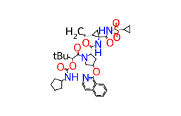 C=C[C@@H]1C[C@]1(NC(=O)[C@@H]1C[C@@H](Oc2nccc3ccccc23)CN1C(=O)[C@@H](OC(=O)NC1CCCC1)C(C)(C)C)C(=O)NS(=O)(=O)C1CC1